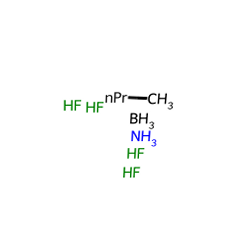 B.CCCC.F.F.F.F.N